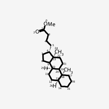 COC(=O)CCC[C@H]1CCC2[C@@H]3CC[C@@H]4CCCC[C@]4(C)C3CC[C@@]21C